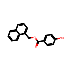 O=C(OCc1cccc2ccccc12)c1ccc(O)cc1